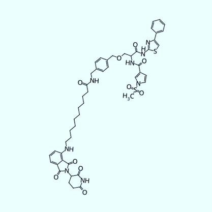 CS(=O)(=O)n1ccc(C(=O)NC(COCc2ccc(CNC(=O)CCCCCCCCCCNc3cccc4c3C(=O)N(C3CCC(=O)NC3=O)C4=O)cc2)C(=O)Nc2nc(-c3ccccc3)cs2)c1